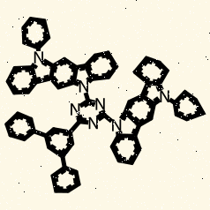 c1ccc(-c2cc(-c3ccccc3)cc(-c3nc(-n4c5ccccc5c5cc6c(cc54)c4ccccc4n6-c4ccccc4)nc(-n4c5ccccc5c5cc6c(cc54)c4ccccc4n6-c4ccccc4)n3)c2)cc1